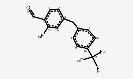 O=Cc1ccc(Cc2ccc(C(F)(F)F)cc2)cc1F